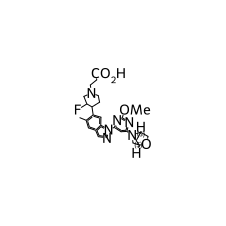 COc1nc(N2C[C@@H]3C[C@H]2CO3)cc(-n2ncc3cc(C)c(C4CCN(CCC(=O)O)CC4F)cc32)n1